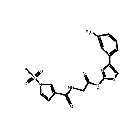 CS(=O)(=O)n1ccc(C(=O)NCC(=O)Nc2nc(-c3cccc(C(F)(F)F)c3)cs2)c1